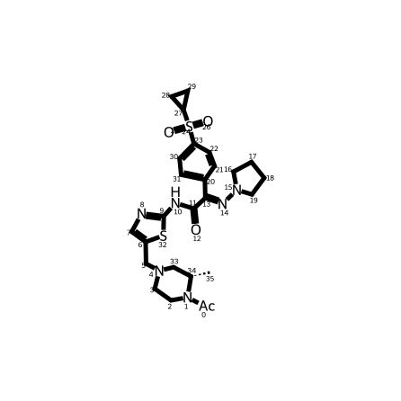 CC(=O)N1CCN(Cc2cnc(NC(=O)/C(=N/N3CCCC3)c3ccc(S(=O)(=O)C4CC4)cc3)s2)C[C@@H]1C